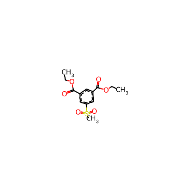 CCOC(=O)c1cc(C(=O)OCC)cc(S(C)(=O)=O)c1